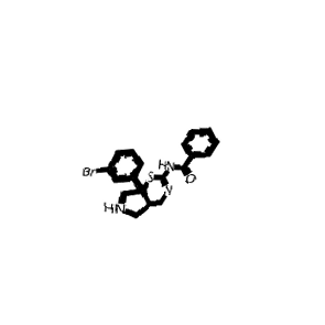 O=C(NC1=NCC2CNCC2(c2cccc(Br)c2)S1)c1ccccc1